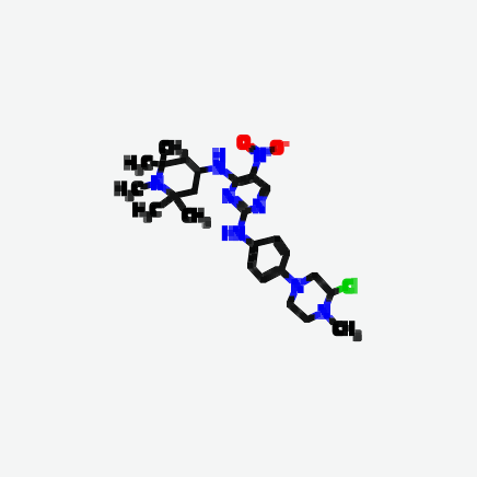 CN1CCN(c2ccc(Nc3ncc([N+](=O)[O-])c(NC4CC(C)(C)N(C)C(C)(C)C4)n3)cc2)CC1Cl